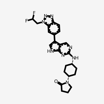 O=C1CCCN1[C@H]1CC[C@@H](Nc2ncc3c(-c4ccc5nnn(CC(F)F)c5c4)c[nH]c3n2)CC1